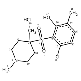 CN1CCC(C)(S(=O)(=O)c2c(Cl)ccc(N)c2O)CC1.Cl